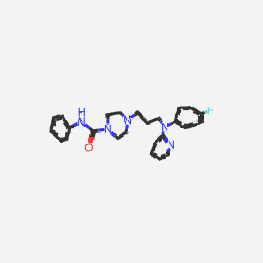 O=C(Nc1ccccc1)N1CCN(CCCN(c2ccc(F)cc2)c2ccccn2)CC1